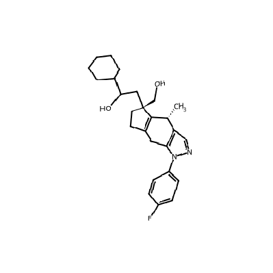 C[C@H]1C2=C(CC[C@]2(CO)CC(O)C2CCCCC2)Cc2c1cnn2-c1ccc(F)cc1